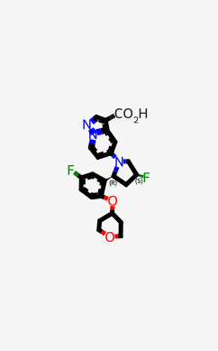 O=C(O)c1cnn2ccc(N3C[C@@H](F)C[C@@H]3c3cc(F)ccc3OC3CCOCC3)cc12